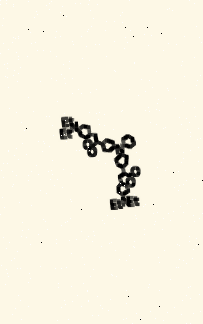 CCN(CC)c1ccc2cc(-c3ccc(N(c4ccccc4)c4ccc(-c5cc6ccc(N(CC)CC)cc6oc5=O)cc4)cc3)c(=O)oc2c1